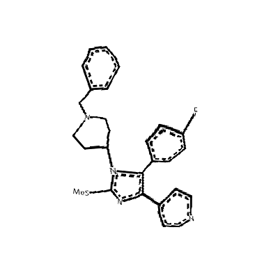 CSc1nc(-c2ccncc2)c(-c2ccc(F)cc2)n1C1CCN(Cc2ccccc2)CC1